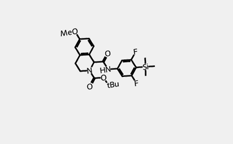 COc1ccc2c(c1)CCN(C(=O)OC(C)(C)C)C2C(=O)Nc1cc(F)c([Si](C)(C)C)c(F)c1